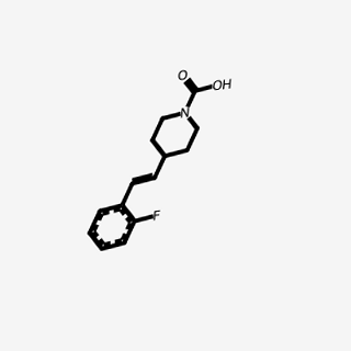 O=C(O)N1CCC(/C=C/c2ccccc2F)CC1